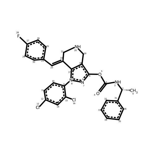 C[C@@H](NC(=O)Oc1nn(-c2ccc(Cl)cc2Cl)c2c1CNC/C2=C\c1ccc(F)cc1)c1ccccc1